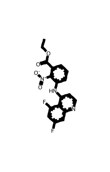 CCOC(=O)c1cccc(Nc2ccnc3cc(F)cc(F)c23)c1[N+](=O)[O-]